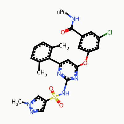 CCCNC(=O)c1cc(Cl)cc(Oc2cc(-c3c(C)cccc3C)nc(NS(=O)(=O)c3cnn(C)c3)n2)c1